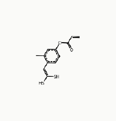 C=CC(=O)Oc1ccc(C=C(S)S)c(C)c1